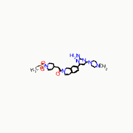 CCS(=O)(=O)N1CCC(CC(=O)N2CCc3ccc(-c4cc(N5CCN(C)CC5)nc(N)n4)cc3C2)CC1